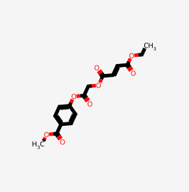 CCOC(=O)C=CC(=O)OCC(=O)Oc1ccc(C(=O)OC)cc1